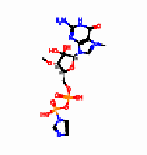 CO[C@H]1[C@@H](COP(=O)(O)OP(=O)(O)n2ccnc2)O[C@@H](n2c[n+](C)c3c(=O)[nH]c(N)nc32)C1(O)O